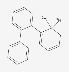 [2H]C1([2H])CC=CC=C1c1ccccc1-c1ccccc1